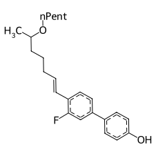 CCCCCOC(C)CCCC=Cc1ccc(-c2ccc(O)cc2)cc1F